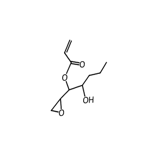 C=CC(=O)OC(C(O)CCC)C1CO1